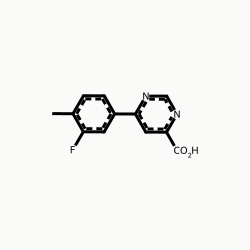 Cc1ccc(-c2cc(C(=O)O)ncn2)cc1F